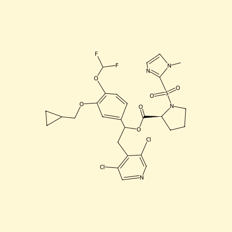 Cn1ccnc1S(=O)(=O)N1CCC[C@H]1C(=O)OC(Cc1c(Cl)cncc1Cl)c1ccc(OC(F)F)c(OCC2CC2)c1